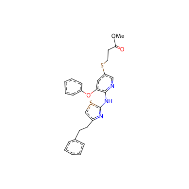 COC(=O)CCSc1cnc(Nc2nc(CCc3ccccc3)cs2)c(Oc2ccccc2)c1